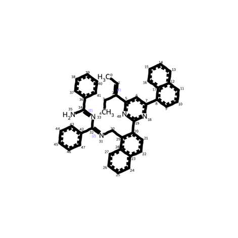 C/C=C(\CC)c1cc(-c2cccc3ccccc23)nc(-c2ccc3ccccc3c2C/N=C(\N=C(/N)c2ccccc2)c2ccccc2)n1